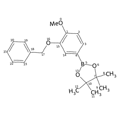 COc1ccc(B2OC(C)(C)C(C)(C)O2)cc1OCc1ccccc1